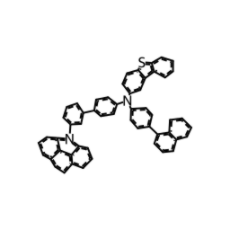 c1cc(-c2ccc(N(c3ccc(-c4cccc5ccccc45)cc3)c3ccc4sc5ccccc5c4c3)cc2)cc(-n2c3cccc4ccc5cccc2c5c43)c1